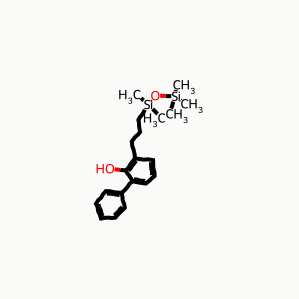 C[Si](C)(C)O[Si](C)(C)CCCc1cccc(-c2ccccc2)c1O